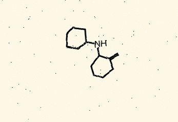 C=C1CCCCC1NC1CCCCC1